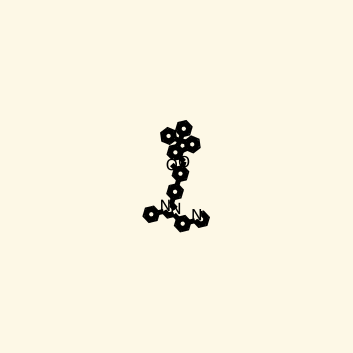 c1ccc(-c2cc(-c3cccc(-c4ccccn4)c3)nc(-c3ccc(-c4ccc5c(c4)Oc4ccc6c(c4O5)-c4ccccc4C6(c4ccccc4)c4ccccc4)cc3)n2)cc1